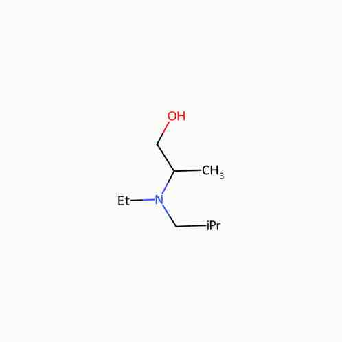 CCN(CC(C)C)C(C)CO